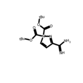 CC(C)(C)OC(=O)[N+]1(C(=O)OC(C)(C)C)C=CC(C(=N)N)=N1